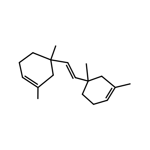 CC1=CCCC(C)(C=CC2(C)CCC=C(C)C2)C1